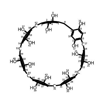 Oc1cc2c(O)cc1Cc1cc(O)c(cc1O)Cc1cc(O)c(cc1O)Cc1cc(O)c(cc1O)Cc1cc(O)c(cc1O)Cc1cc(O)c(cc1O)Cc1cc(O)c(cc1O)C2